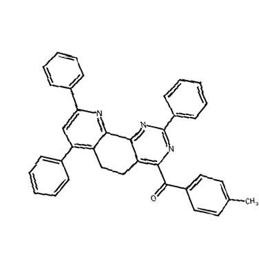 Cc1ccc(C(=O)c2nc(-c3ccccc3)nc3c2CCc2c(-c4ccccc4)cc(-c4ccccc4)nc2-3)cc1